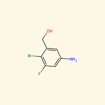 Nc1cc(F)c(Br)c(CO)c1